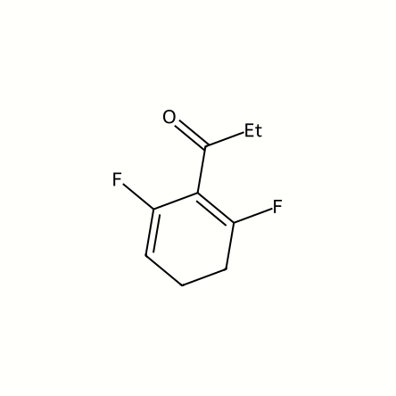 CCC(=O)C1=C(F)CCC=C1F